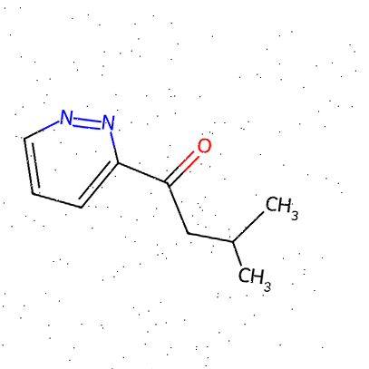 CC(C)CC(=O)c1cccnn1